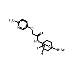 CC(=O)NC12CCC(NC(=O)COc3ccc(C(F)(F)F)nc3)(CC1)[C@@H](F)C2